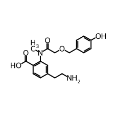 CN(C(=O)COCc1ccc(O)cc1)c1cc(CCN)ccc1C(=O)O